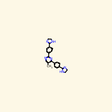 Cc1cnc(-c2ccc(C3=NCCN3)cc2)nc1-c1ccc(C2=NCCN2)cc1